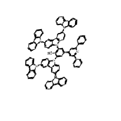 N#Cc1c(-n2c3ccc(-n4c5ccccc5c5ccccc54)cc3c3cc(-n4c5ccccc5c5ccccc54)ccc32)cc(-c2cc(-c3ccccc3)nc(-c3ccccc3)c2)cc1-n1c2ccc(-n3c4ccccc4c4ccccc43)cc2c2cc(-n3c4ccccc4c4ccccc43)ccc21